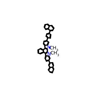 Cn1c2cc(-c3ccc(-c4cccc5ccccc45)cc3)ccc2c2c3ccccc3c3c4ccc(-c5ccc6ccccc6c5)cc4n(C)c3c21